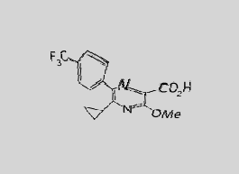 COc1nc(C2CC2)c(-c2ccc(C(F)(F)F)cc2)nc1C(=O)O